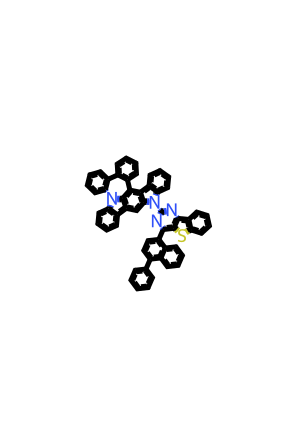 c1ccc(-c2ccc(-c3nc(-n4c5ccccc5c5c6c7c(cc54)c4ccccc4n7-c4ccccc4-c4ccccc4-6)nc4c3sc3ccccc34)c3ccccc23)cc1